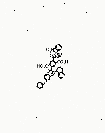 O=C(O)c1cc(C(=O)N(Cc2cccc(Oc3ccccc3)c2)[C@H]2CCCc3ccccc32)c(C(=O)O)cc1C(=O)NS(=O)(=O)c1ccccc1[N+](=O)[O-]